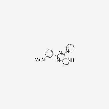 CNc1cccc(-c2nc3c(c(N4CCCCC4)n2)NCC3)c1